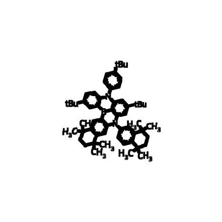 CC(C)(C)c1ccc(N2c3ccc(C(C)(C)C)cc3B3c4cc5c(cc4N(c4ccc6c(c4)C(C)(C)CCC6(C)C)c4cc(C(C)(C)C)cc2c43)C(C)(C)CCC5(C)C)cc1